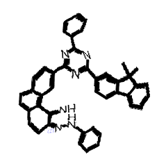 CC1(C)c2ccccc2-c2ccc(-c3nc(-c4ccccc4)nc(-c4ccc5ccc6c(c5c4)C(=N)/C(=N\Nc4ccccc4)C=C6)n3)cc21